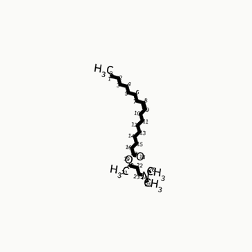 CCCCCCCC/C=C\CCCCCCCC(=O)OC(C)CCN(C)C